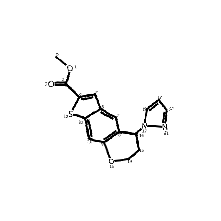 COC(=O)c1cc2cc3c(cc2s1)OCCC3n1cccn1